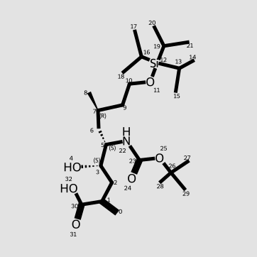 C=C(C[C@H](O)[C@H](C[C@@H](C)CCO[Si](C(C)C)(C(C)C)C(C)C)NC(=O)OC(C)(C)C)C(=O)O